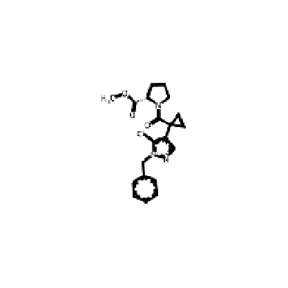 COC(=O)[C@@H]1CCCN1C(=O)C1(c2cnn(Cc3ccccc3)c2Cl)CC1